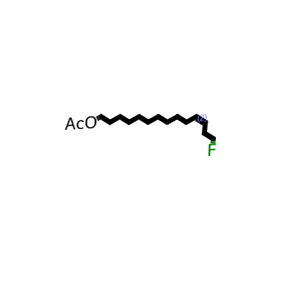 CC(=O)OCCCCCCCCCC/C=C\CCF